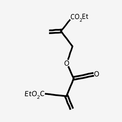 C=C(COC(=O)C(=C)C(=O)OCC)C(=O)OCC